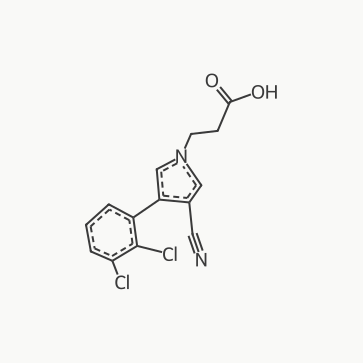 N#Cc1cn(CCC(=O)O)cc1-c1cccc(Cl)c1Cl